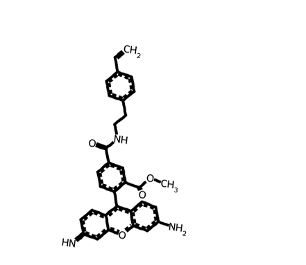 C=Cc1ccc(CCNC(=O)c2ccc(-c3c4ccc(=N)cc-4oc4cc(N)ccc34)c(C(=O)OC)c2)cc1